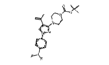 C=C(C)c1cn(-c2ccc(C(F)F)cc2)nc1N1CCN(C(=O)OC(C)(C)C)CC1